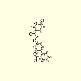 O=C(COc1ccc2c(c1)oc(=O)c1ccccc12)c1ccc(Cl)cc1